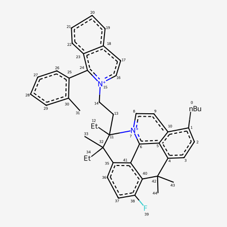 CCCCc1ccc2c3c4[n+](ccc13)C(CC)(CC[n+]1ccc3ccccc3c1-c1ccccc1C)C(C)(CC)c1ccc(F)c(c1-4)C2(C)C